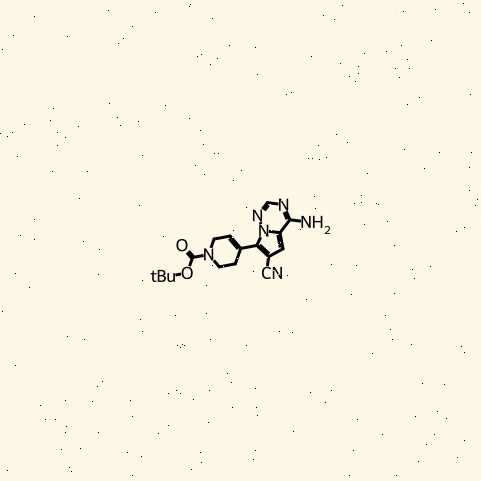 CC(C)(C)OC(=O)N1CC=C(c2c(C#N)cc3c(N)ncnn23)CC1